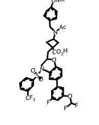 COc1ccc(CN(C(C)=O)C2CC(CC3CN(S(=O)(=O)c4cccc(C(F)(F)F)c4)c4cc(-c5cc(F)cc(OC(F)F)c5)ccc4O3)(C(=O)O)C2)cc1